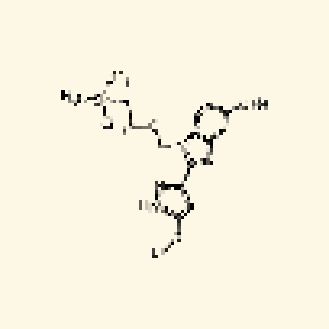 CCSc1cc(-c2nc3cc(OC)ccc3n2COCC[Si](C)(C)C)n[nH]1